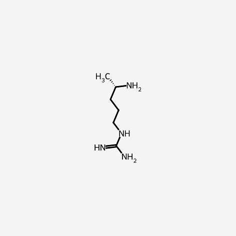 C[C@H](N)CCCNC(=N)N